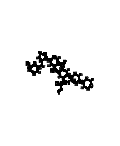 C=CC(=O)Nc1cc(Nc2cc(N3OCC[C@@H]3Cc3cccc(F)c3)ncn2)c(OC)cc1N1CCC(N2CCOCC2)CC1